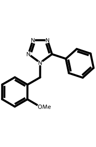 COc1ccccc1Cn1nnnc1-c1ccccc1